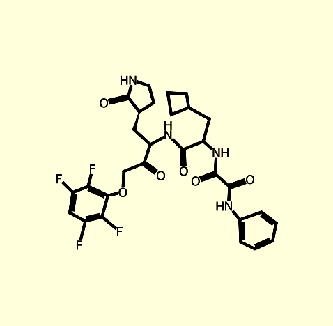 O=C(Nc1ccccc1)C(=O)NC(CC1CCC1)C(=O)NC(C[C@@H]1CCNC1=O)C(=O)COc1c(F)c(F)cc(F)c1F